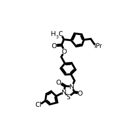 CC(C)Cc1ccc(C(C)C(=O)OCc2ccc(Cn3c(=O)sn(-c4ccc(Cl)cc4)c3=O)cc2)cc1